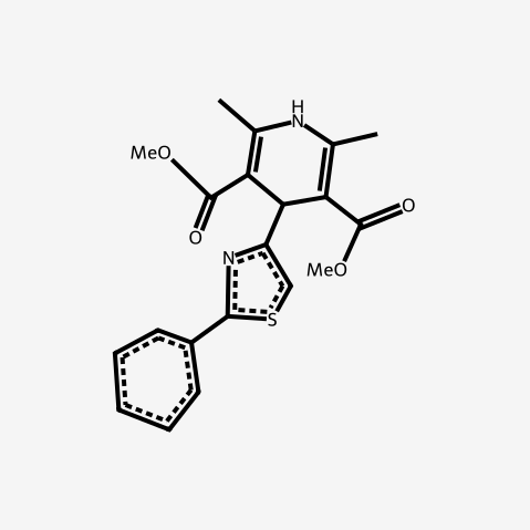 COC(=O)C1=C(C)NC(C)=C(C(=O)OC)C1c1csc(-c2ccccc2)n1